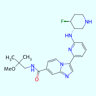 COC(C)(C)CNC(=O)c1ccn2c(-c3cccc(N[C@H]4CNCC[C@@H]4F)n3)cnc2c1